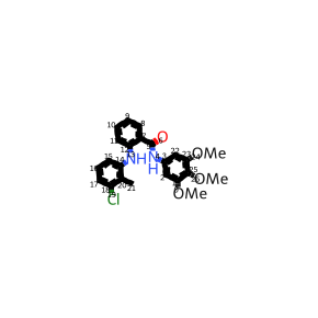 COc1cc(NC(=O)c2ccccc2Nc2cccc(Cl)c2C)cc(OC)c1OC